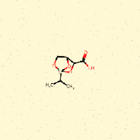 CC(C)[Si]12OCC(O1)C(C(=O)O)O2